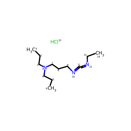 CCCN(CCC)CCCN=C=NCC.Cl